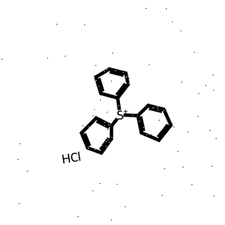 Cl.c1ccc([S+](c2ccccc2)c2ccccc2)cc1